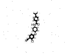 CC(C)c1cnc(C(=O)N[C@H]2CC[C@H](Oc3ccc(C#N)c(Cl)c3)CC2)cn1